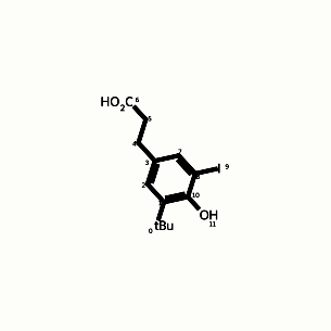 CC(C)(C)c1cc(CCC(=O)O)cc(I)c1O